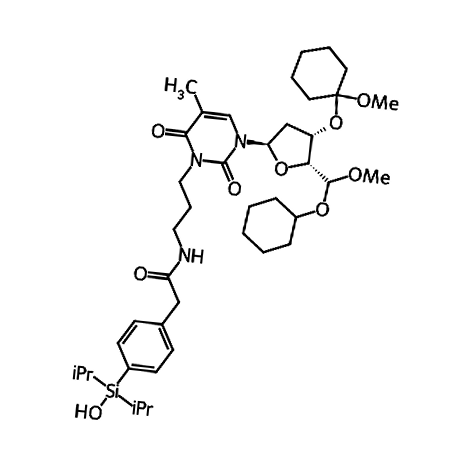 COC(OC1CCCCC1)[C@@H]1O[C@@H](n2cc(C)c(=O)n(CCCNC(=O)Cc3ccc([Si](O)(C(C)C)C(C)C)cc3)c2=O)C[C@@H]1OC1(OC)CCCCC1